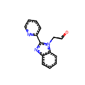 O=CCn1c(-c2ccccn2)nc2ccccc21